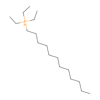 CCCCCCCCCCCC[PH](CC)(CC)CC